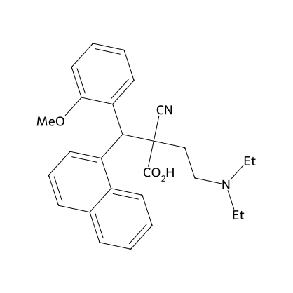 CCN(CC)CCC(C#N)(C(=O)O)C(c1ccccc1OC)c1cccc2ccccc12